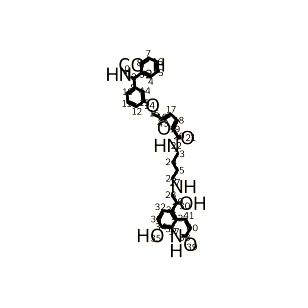 O=C(O)NC(c1ccccc1)c1cccc(OCc2ccc(C(=O)NCCCCNCC(O)c3ccc(O)c4[nH]c(=O)ccc34)o2)c1